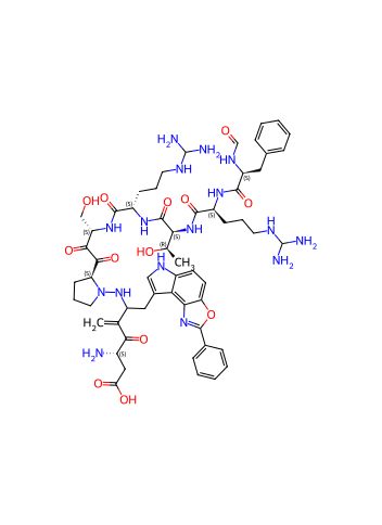 C=C(C(=O)[C@@H](N)CC(=O)O)C(Cc1c[nH]c2ccc3oc(-c4ccccc4)nc3c12)NN1CCC[C@H]1C(=O)C(=O)[C@H](CO)NC(=O)[C@H](CCCNC(N)N)NC(=O)[C@@H](NC(=O)[C@H](CCCNC(N)N)NC(=O)[C@H](Cc1ccccc1)NC=O)[C@@H](C)O